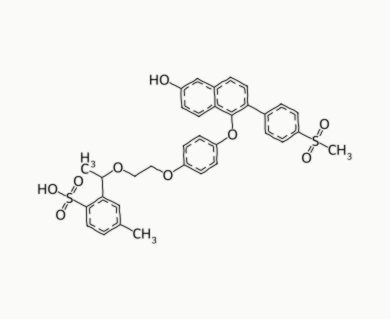 Cc1ccc(S(=O)(=O)O)c(C(C)OCCOc2ccc(Oc3c(-c4ccc(S(C)(=O)=O)cc4)ccc4cc(O)ccc34)cc2)c1